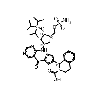 CC(C)[Si](O[C@H]1C[C@H](Nc2ncncc2C(=O)c2cc([C@H]3c4ccccc4CCN3C(=O)O)cs2)C[C@@H]1COS(N)(=O)=O)(C(C)C)C(C)C